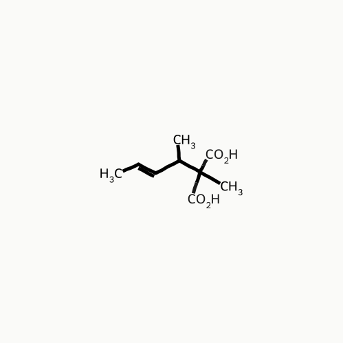 CC=CC(C)C(C)(C(=O)O)C(=O)O